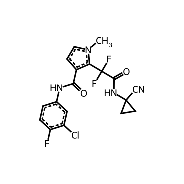 Cn1ccc(C(=O)Nc2ccc(F)c(Cl)c2)c1C(F)(F)C(=O)NC1(C#N)CC1